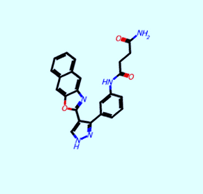 NC(=O)CCC(=O)Nc1cccc(-c2n[nH]cc2-c2nc3cc4ccccc4cc3o2)c1